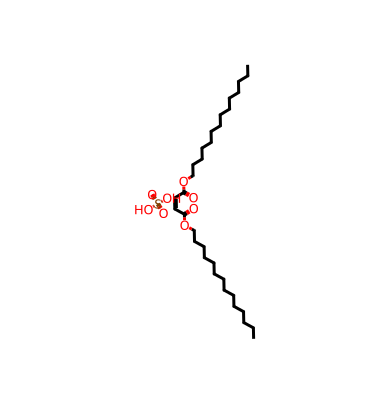 CCCCCCCCCCCCCCOC(=O)/C=C\C(=O)OCCCCCCCCCCCCCC.O=S(=O)(O)O